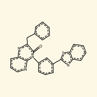 O=c1c(Cc2ccccc2)nc2cccnc2n1-c1cccc(-c2nc3ccccc3s2)c1